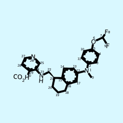 CN(c1ccc(OC(F)F)cc1)c1ccc2c(c1)CCC[C@H]2CNc1cnccc1C(=O)O